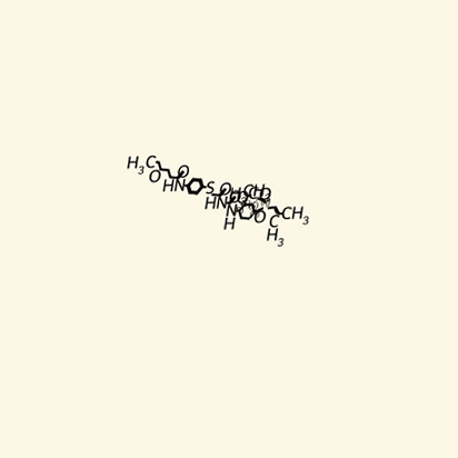 CCC(=O)CCC(=O)Nc1ccc(SCC(=O)NC(=O)N[C@@H]2CC[C@]3(CO3)[C@@H](C3(C)O[C@@H]3CC=C(C)C)[C@@H]2OC)cc1